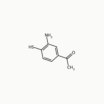 CC(=O)c1ccc(S)c(N)c1